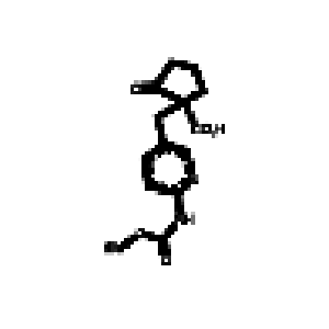 CC(C)(C)OC(=O)Nc1ccc(CC2(C(=O)O)CCCC2=O)cn1